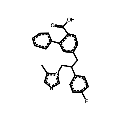 Cc1cncn1CC(Cc1ccc(C(=O)O)c(-c2ccccc2)c1)c1ccc(F)cc1